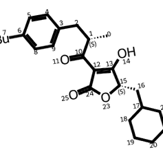 C[C@@H](Cc1ccc(C(C)(C)C)cc1)C(=O)C1=C(O)[C@H](CC2CCCCC2)OC1=O